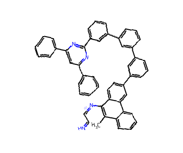 Cc1c(/N=C\C=N)c2ccc(-c3cccc(-c4cccc(-c5cccc(-c6nc(-c7ccccc7)cc(-c7ccccc7)n6)c5)c4)c3)cc2c2ccccc12